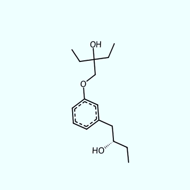 CC[C@H](O)Cc1cccc(OCC(O)(CC)CC)c1